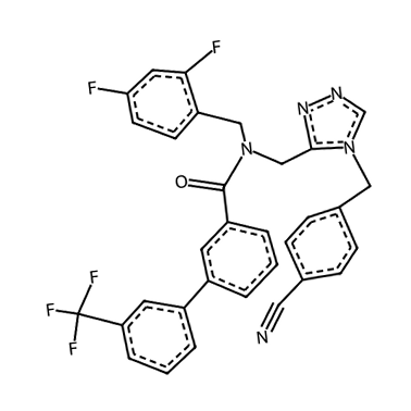 N#Cc1ccc(Cn2cnnc2CN(Cc2ccc(F)cc2F)C(=O)c2cccc(-c3cccc(C(F)(F)F)c3)c2)cc1